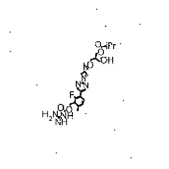 CC(C)C(=O)OCC(CO)CON=C1CN(c2ncc(C3=C(F)C(COC(=O)NC(=N)N)C(C)C=C3)cn2)C1